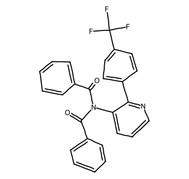 O=C(c1ccccc1)N(C(=O)c1ccccc1)c1cccnc1-c1ccc(C(F)(F)F)cc1